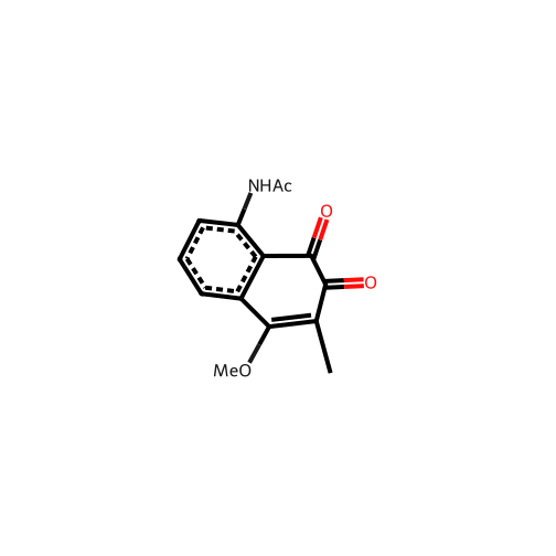 COC1=C(C)C(=O)C(=O)c2c(NC(C)=O)cccc21